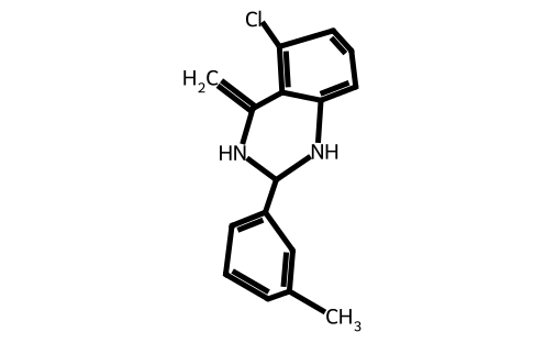 C=C1NC(c2cccc(C)c2)Nc2cccc(Cl)c21